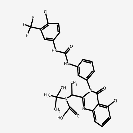 CC(c1nc2cccc(Cl)c2c(=O)n1-c1cccc(NC(=O)Nc2ccc(Cl)c(C(F)(F)F)c2)c1)N(C(=O)O)C(C)(C)C